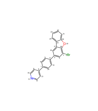 Brc1cc(-c2ccc(-c3ccncc3)cc2)cc2c1oc1ccccc12